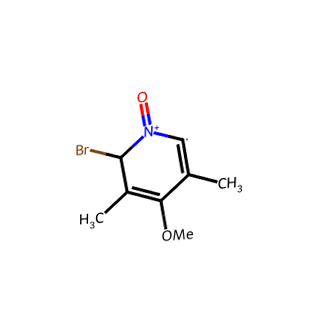 COC1=C(C)C(Br)[N+](=O)[C]=C1C